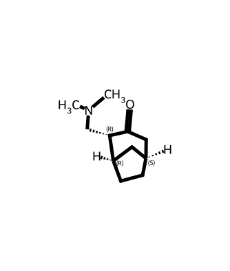 CN(C)C[C@@H]1C(=O)C[C@H]2CC[C@@H]1C2